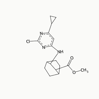 COC(=O)C1C2CCC(CC2)C1Nc1cc(C2CC2)nc(Cl)n1